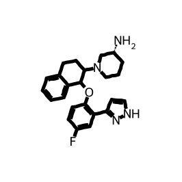 N[C@@H]1CCCN(C2CCc3ccccc3C2Oc2ccc(F)cc2-c2cc[nH]n2)C1